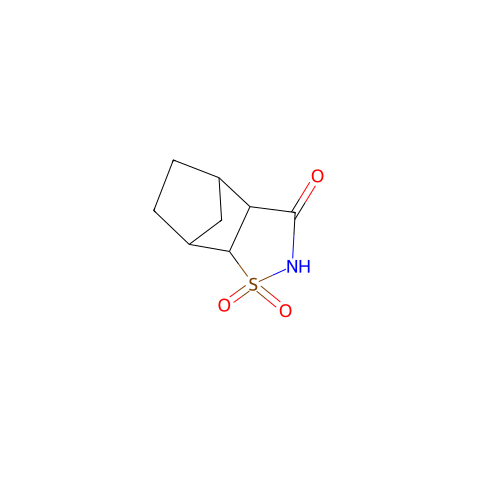 O=C1NS(=O)(=O)C2C3CCC(C3)C12